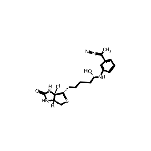 CC(=[N+]=[N-])c1cccc(N[C@@H](O)CCCC[C@@H]2SC[C@@H]3NC(=O)N[C@@H]32)c1